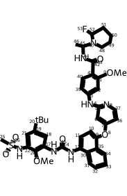 COc1cc(Nc2cc(Oc3ccc(NC(=O)Nc4cc(C(C)(C)C)cc(NS(C)(=O)=O)c4OC)c4ccccc34)ccn2)ccc1C(=O)NC(C)N1CCCCC1F